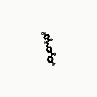 O=Nc1ccc(C(=O)NCCc2ccc(C(=O)c3cccc(Br)c3)cc2)cc1